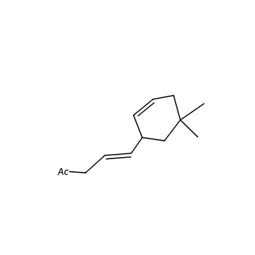 CC(=O)CC=CC1C=CCC(C)(C)C1